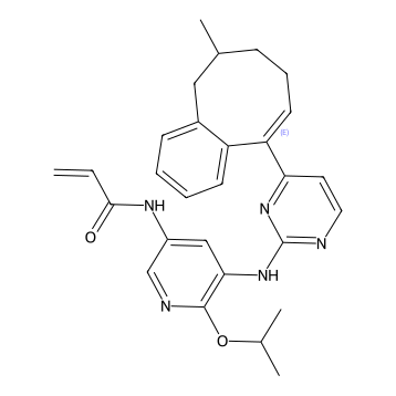 C=CC(=O)Nc1cnc(OC(C)C)c(Nc2nccc(/C3=C/CCC(C)Cc4ccccc43)n2)c1